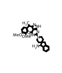 C=C(c1ccc(OC)c(OC)c1)c1n[nH]c2nc(N3CCC4(CC3)Cc3ccccc3[C@H]4N)[nH]c(=O)c12